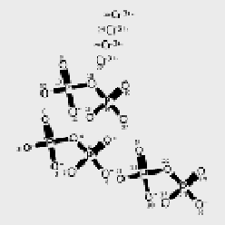 O=P([O-])([O-])OP(=O)([O-])[O-].O=P([O-])([O-])OP(=O)([O-])[O-].O=P([O-])([O-])OP(=O)([O-])[O-].[Cr+3].[Cr+3].[Cr+3].[Cr+3]